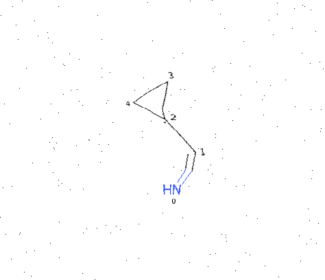 N=C[C]1CC1